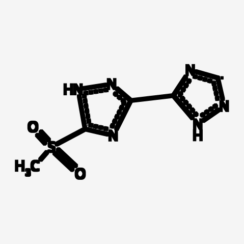 CS(=O)(=O)c1nc(-c2n[c]n[nH]2)n[nH]1